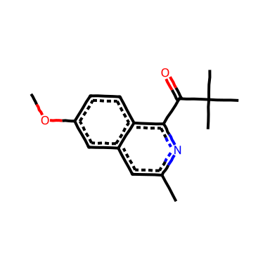 COc1ccc2c(C(=O)C(C)(C)C)nc(C)cc2c1